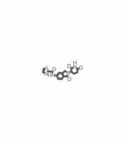 O=C1CCC(N2Cc3cc(NC(=O)c4nccs4)ccc3C2=O)C(=O)N1